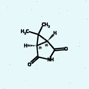 CC1(C)[C@@H]2C(=O)NC(=O)[C@@H]21